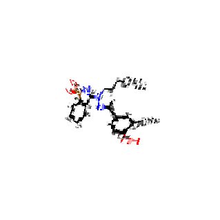 COCCCN(N=C(C)c1ccc(O)c(OC)c1)C1=NS(=O)(=O)c2ccccc21